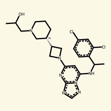 CC(O)CN1CCC[C@H](C2CN(c3cc(NC(C)c4ccc(Cl)cc4Cl)n4ncnc4n3)C2)C1